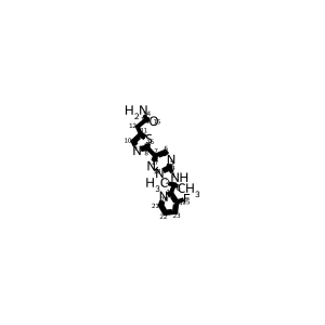 CC(C)(Nc1ncc(-c2ncc(CC(N)=O)s2)nn1)c1ncccc1F